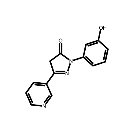 O=C1CC(c2cccnc2)=NN1c1cccc(O)c1